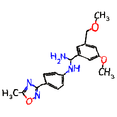 COCc1cc(OC)cc(C(N)Nc2ccc(-c3noc(C)n3)cc2)c1